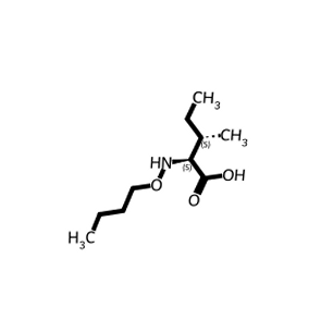 CCCCON[C@H](C(=O)O)[C@@H](C)CC